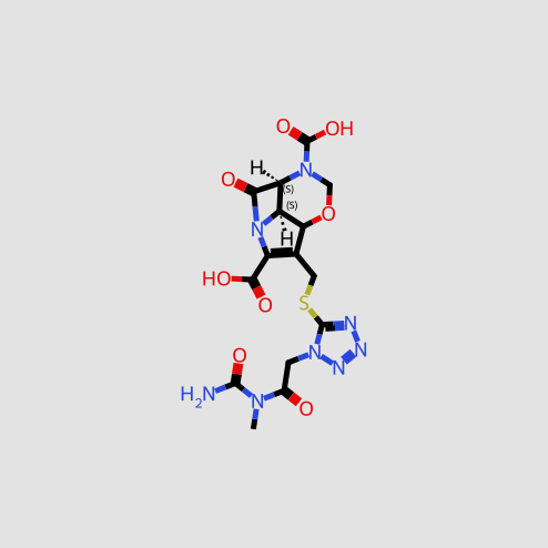 CN(C(N)=O)C(=O)Cn1nnnc1SCC1=C(C(=O)O)N2C(=O)[C@@H]3[C@H]2C1OCN3C(=O)O